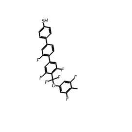 Cc1c(F)cc(OC(F)(F)c2c(F)cc(-c3ccc(-c4ccc(S)cc4)cc3F)cc2F)cc1F